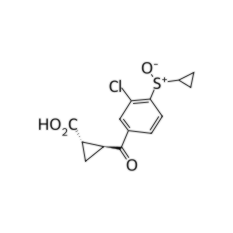 O=C(O)[C@H]1C[C@@H]1C(=O)c1ccc([S+]([O-])C2CC2)c(Cl)c1